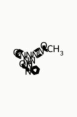 CCC(=O)N1CCN(c2nc(N3CCOCC3)nc(-n3c(CO)nc4ccccc43)n2)CC1